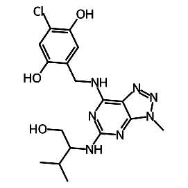 CC(C)C(CO)Nc1nc(NCc2cc(O)c(Cl)cc2O)c2nnn(C)c2n1